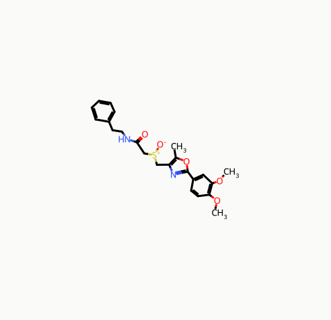 COc1ccc(-c2nc(C[S+]([O-])CC(=O)NCCc3ccccc3)c(C)o2)cc1OC